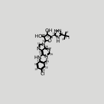 CC(C)(C)c1nnc([C@H]2OC(n3cnc4c(Nc5ccc(Cl)cc5F)ncnc43)C(O)C2O)[nH]1